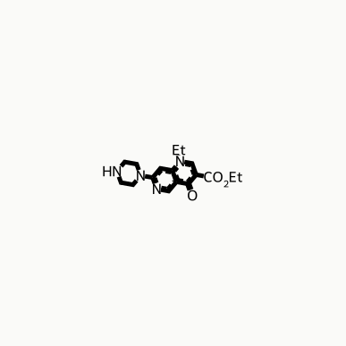 CCOC(=O)c1cn(CC)c2cc(N3CCNCC3)ncc2c1=O